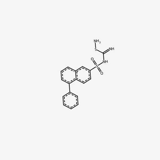 N=C(NS(=O)(=O)c1ccc2c(-c3ccccc3)cccc2c1)SN